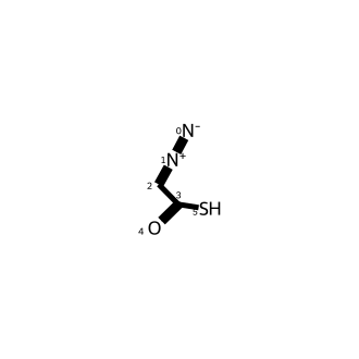 [N-]=[N+]=CC(=O)S